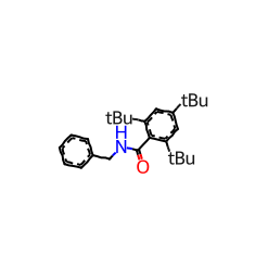 CC(C)(C)c1cc(C(C)(C)C)c(C(=O)NCc2ccccc2)c(C(C)(C)C)c1